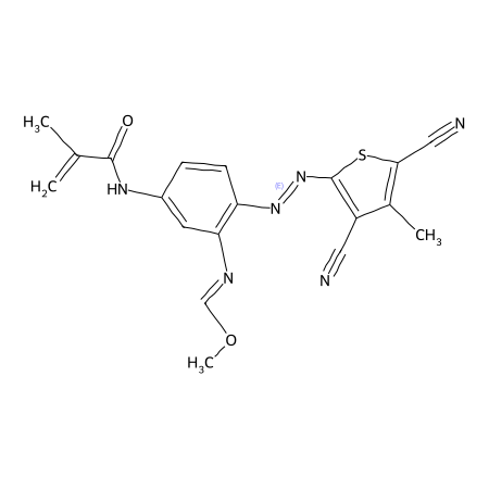 C=C(C)C(=O)Nc1ccc(/N=N/c2sc(C#N)c(C)c2C#N)c(N=COC)c1